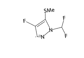 CSc1c(F)[c]nn1C(F)F